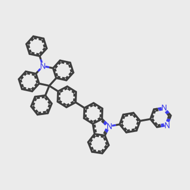 c1ccc(N2c3ccccc3C(c3ccccc3)(c3ccc(-c4ccc5c(c4)c4ccccc4n5-c4ccc(-c5cncnc5)cc4)cc3)c3ccccc32)cc1